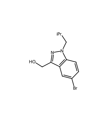 CC(C)Cn1nc(CO)c2cc(Br)ccc21